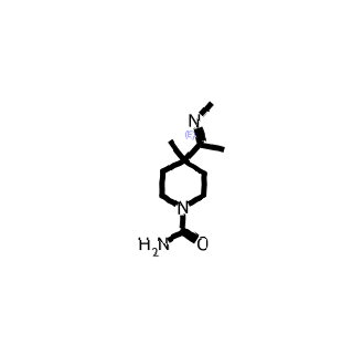 C/N=C(\C)C1(C)CCN(C(N)=O)CC1